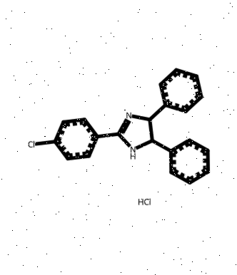 Cl.Clc1ccc(C2=NC(c3ccccc3)C(c3ccccc3)N2)cc1